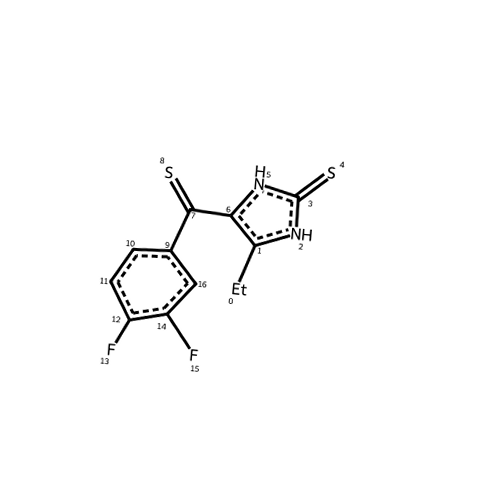 CCc1[nH]c(=S)[nH]c1C(=S)c1ccc(F)c(F)c1